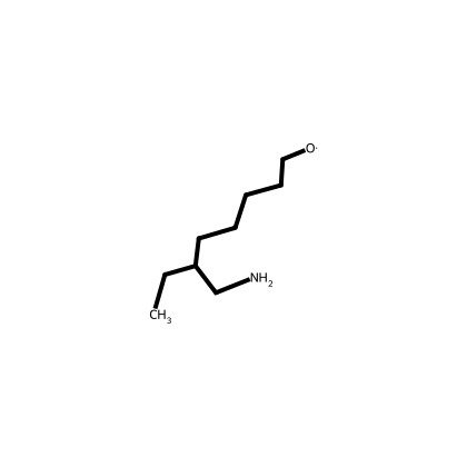 CCC(CN)CCCCC[O]